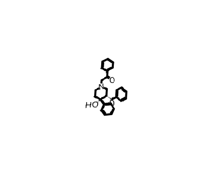 O=C(CN1CC[C@](O)(c2ccccc2)[C@@H](C(=O)c2ccccc2)C1)c1ccccc1